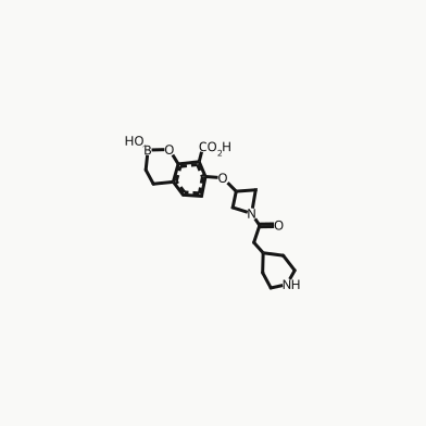 O=C(O)c1c(OC2CN(C(=O)CC3CCNCC3)C2)ccc2c1OB(O)CC2